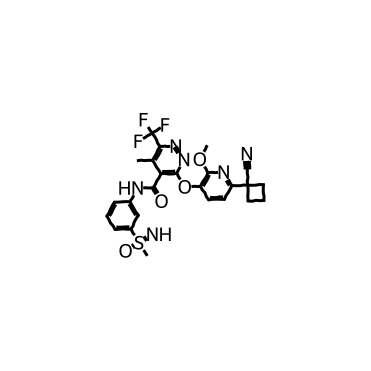 COc1nc(C2(C#N)CCC2)ccc1Oc1nnc(C(F)(F)F)c(C)c1C(=O)Nc1cccc(S(C)(=N)=O)c1